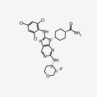 NC(=O)[C@H]1CC[C@H](n2c(Nc3c(Cl)cc(Cl)cc3Cl)nc3cnc(N[C@H]4CCOC[C@H]4F)nc32)CC1